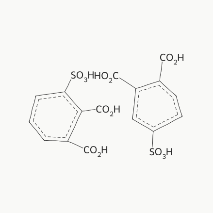 O=C(O)c1ccc(S(=O)(=O)O)cc1C(=O)O.O=C(O)c1cccc(S(=O)(=O)O)c1C(=O)O